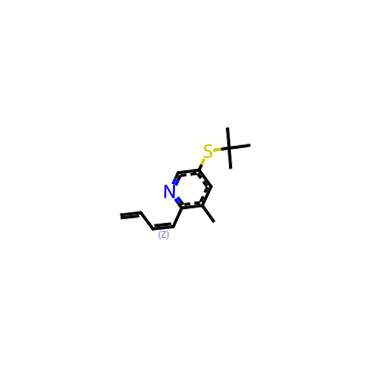 C=C/C=C\c1ncc(SC(C)(C)C)cc1C